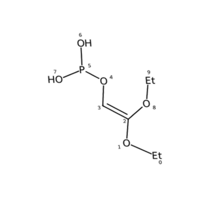 CCOC(=COP(O)O)OCC